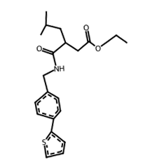 CCOC(=O)CC(CC(C)C)C(=O)NCc1ccc(-c2cccs2)cc1